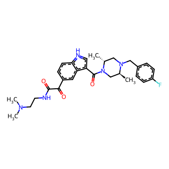 C[C@@H]1CN(Cc2ccc(F)cc2)[C@@H](C)CN1C(=O)c1c[nH]c2ccc(C(=O)C(=O)NCCN(C)C)cc12